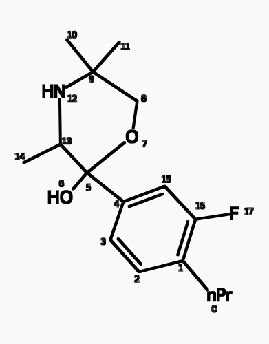 CCCc1ccc(C2(O)OCC(C)(C)NC2C)cc1F